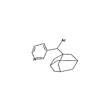 CC(=O)C(c1cccnc1)C12CC3CC(CC(C3)C1)C2